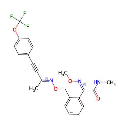 CNC(=O)/C(=N/OC)c1ccccc1CO/N=C(\C)C#Cc1ccc(OC(F)(F)F)cc1